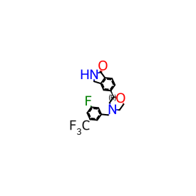 O=C1NCc2cc([C@@H]3CN(Cc4cc(F)cc(C(F)(F)F)c4)CCO3)ccc21